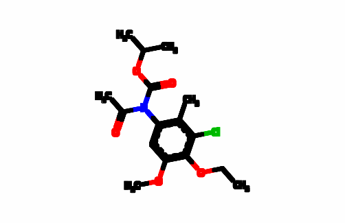 CCOc1c(OC)cc(N(C(C)=O)C(=O)OC(C)C)c(C)c1Cl